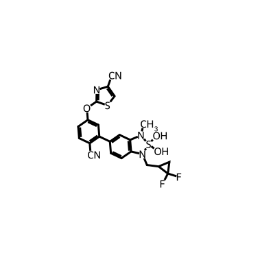 CN1c2cc(-c3cc(Oc4nc(C#N)cs4)ccc3C#N)ccc2N(CC2CC2(F)F)S1(O)O